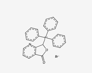 O=C1OC([P+](c2ccccc2)(c2ccccc2)c2ccccc2)c2ncccc21.[Br-]